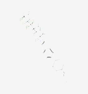 CCC[C@H]1CC[C@H](c2ccc(/C=C/C(F)(F)C(F)(F)C(F)(F)C(F)(F)C(F)(F)C(F)(F)F)cc2)CC1